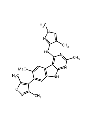 COc1cc2c(cc1-c1c(C)noc1C)[nH]c1nc(C)nc(Nc3nn(C)cc3C)c12